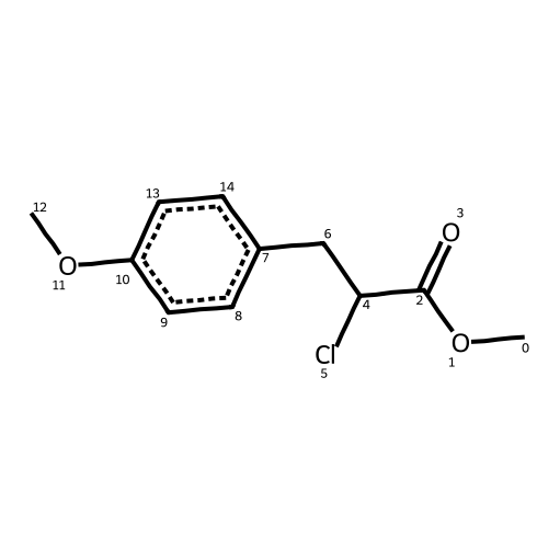 COC(=O)C(Cl)Cc1ccc(OC)cc1